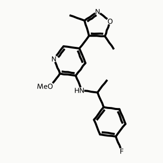 COc1ncc(-c2c(C)noc2C)cc1NC(C)c1ccc(F)cc1